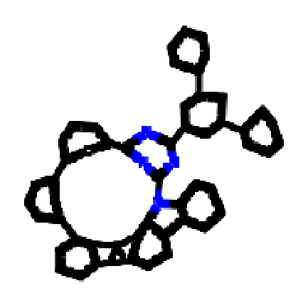 C[Si]1(C)c2c3cccc2-c2ccc4c5ccccc5n(c4c21)-c1nc(nc(-c2cc(-c4ccccc4)cc(-c4ccccc4)c2)n1)-c1cccc(c1)-c1cccc-3c1